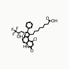 O=C(O)CCCCCCCc1c(-c2ccccc2)n(C[C@H](O)C(F)(F)F)c2ccc3[nH]c(=O)cc(Cl)c3c12